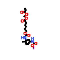 C=CC(=O)OCOC(=O)CCCCCOC(=O)Nc1cc(NC(=O)OI)ccc1C